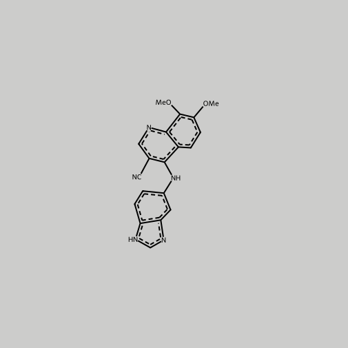 COc1ccc2c(Nc3ccc4[nH]cnc4c3)c(C#N)cnc2c1OC